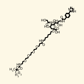 CC(C)(C)OC(=O)NCCOCCOCCOCCOCCC(=O)NCCCCCCO[C@]1(C(=O)O)C[C@H](O)[C@@H](NC(=O)CO)[C@H]([C@H](O)[C@H](O)CNC(=O)Cc2ccc(-c3nnn[nH]3)cc2)O1